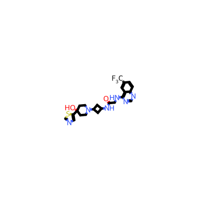 O=C(CNc1ncnc2ccc(C(F)(F)F)cc12)NC1CC(N2CCC(O)(c3cncs3)CC2)C1